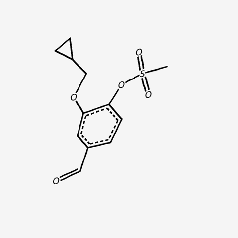 CS(=O)(=O)Oc1ccc(C=O)cc1OCC1CC1